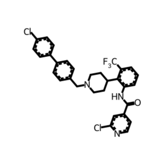 O=C(Nc1cccc(C(F)(F)F)c1C1CCN(Cc2ccc(-c3ccc(Cl)cc3)cc2)CC1)c1ccnc(Cl)c1